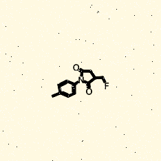 Cc1ccc(N2C(=O)CC(CF)C2=O)cc1